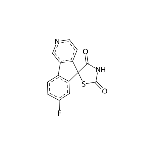 O=C1NC(=O)C2(S1)c1ccncc1-c1ccc(F)cc12